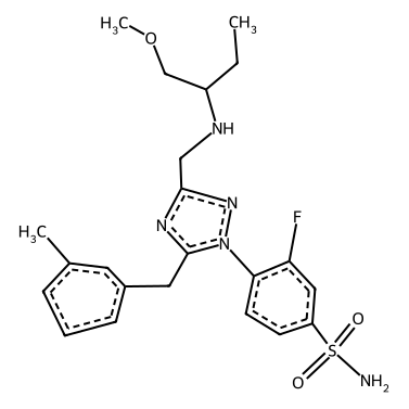 CCC(COC)NCc1nc(Cc2cccc(C)c2)n(-c2ccc(S(N)(=O)=O)cc2F)n1